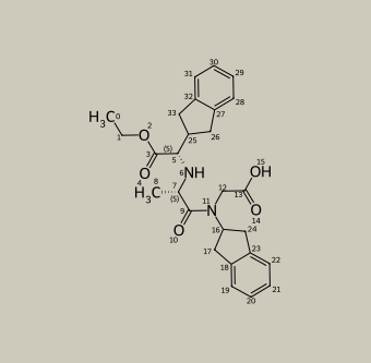 CCOC(=O)[C@@H](N[C@@H](C)C(=O)N(CC(=O)O)C1Cc2ccccc2C1)C1Cc2ccccc2C1